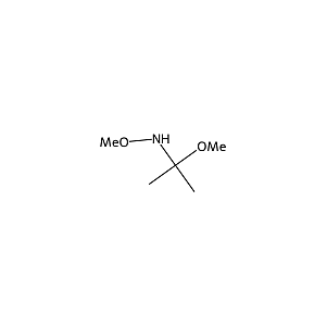 CONC(C)(C)OC